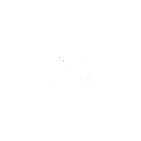 C=N/C(Cl)=C(/O)CC